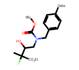 CCOC(=O)C(C)(F)C(O)CN(Cc1ccc(OC)cc1)C(=O)OC(C)(C)C